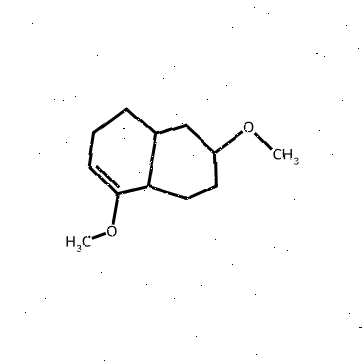 COC1=CCCC2CC(OC)CCC12